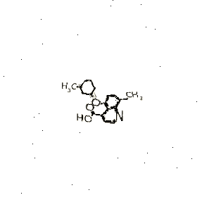 CCc1ccc(O[C@H]2CCC[C@H](C)C2)c2c(C(=O)O)ccnc12